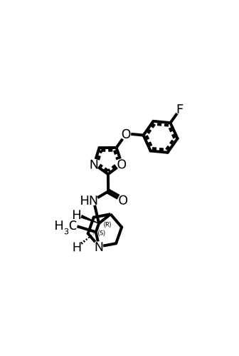 C[C@H]1[C@H](NC(=O)c2ncc(Oc3cccc(F)c3)o2)C2CCN1CC2